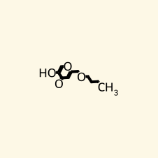 CCCCOCc1cc(=O)c(O)co1